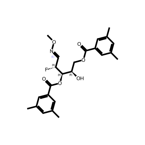 CO/N=C/[C@@H](F)[C@H](OC(=O)c1cc(C)cc(C)c1)[C@H](O)COC(=O)c1cc(C)cc(C)c1